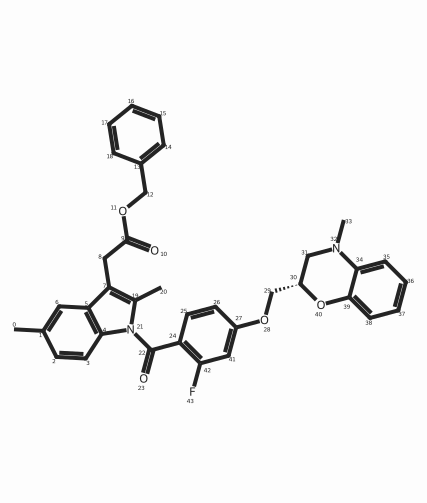 Cc1ccc2c(c1)c(CC(=O)OCc1ccccc1)c(C)n2C(=O)c1ccc(OC[C@@H]2CN(C)c3ccccc3O2)cc1F